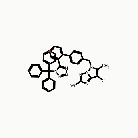 CCCc1nc2c(Cl)c(C)n(Cc3ccc(-c4ccccc4-c4nnnn4C(c4ccccc4)(c4ccccc4)c4ccccc4)cc3)n2n1